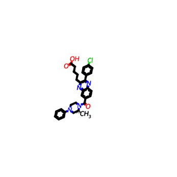 C[C@@H]1CN(c2ccccc2)CCN1C(=O)c1ccc2nc(-c3ccc(Cl)cc3)c(CCCCC(=O)O)nc2c1